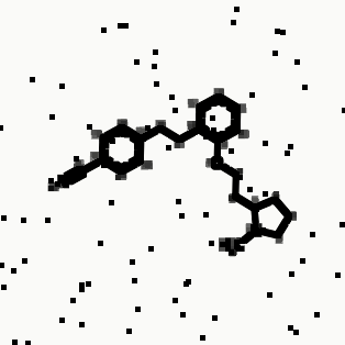 CN1CCCC1CCOc1ccccc1CCc1ccc(C#N)cc1